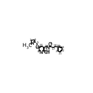 CN1CC[C@@H]1COc1cnc(Cl)c(CNC(=O)CCc2ccccc2)c1